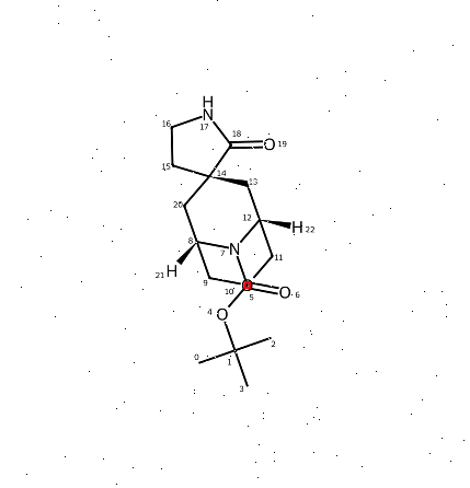 CC(C)(C)OC(=O)N1[C@@H]2COC[C@H]1C[C@]1(CCNC1=O)C2